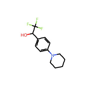 OC(c1ccc(N2CCCCC2)cc1)C(F)(F)F